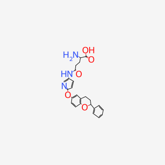 NC(CCC(=O)Nc1ccc(Oc2ccc3c(c2)CCC(c2ccccc2)O3)nc1)C(=O)O